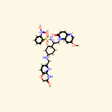 COc1cnc2ccc(=O)n(CC(NS(=O)(=O)c3ccccc3[N+](=O)[O-])C3CCC(NCc4ccc5c(n4)NC(=O)CO5)CC3)c2c1